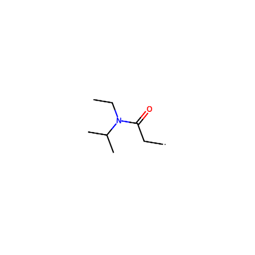 [CH2]CC(=O)N(CC)C(C)C